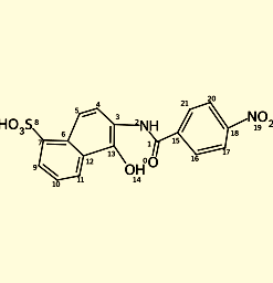 O=C(Nc1ccc2c(S(=O)(=O)O)cccc2c1O)c1ccc([N+](=O)[O-])cc1